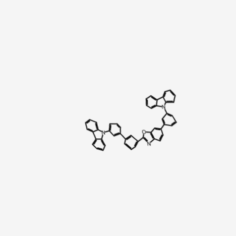 c1cc(-c2cccc(-n3c4ccccc4c4ccccc43)c2)cc(-c2nc3ccc(-c4cccc(-n5c6ccccc6c6ccccc65)c4)cc3o2)c1